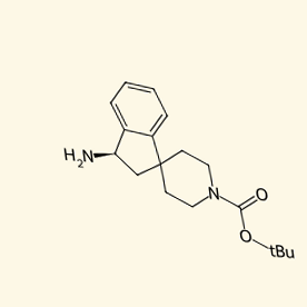 CC(C)(C)OC(=O)N1CCC2(CC1)C[C@@H](N)c1ccccc12